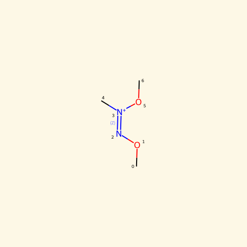 CO/N=[N+](/C)OC